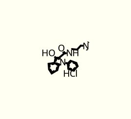 CN(C)CCCNC(=O)c1c(O)c2ccccc2n1-c1ccccc1.Cl